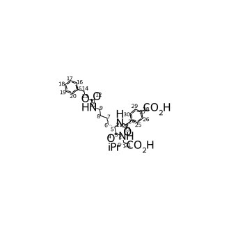 CC(C)[C@H](NC(=O)[C@H](CCCCNC(=O)OCc1ccccc1)NC(=O)c1ccc(C(=O)O)cc1)C(=O)O